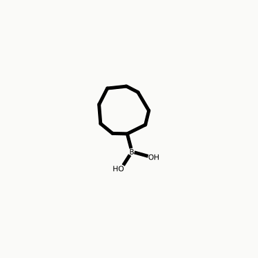 OB(O)C1CCCCCCCC1